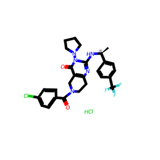 C[C@H](Nc1nc2c(c(=O)n1N1CCCC1)CN(C(=O)c1ccc(Cl)cc1)CC2)c1ccc(C(F)(F)F)cc1.Cl